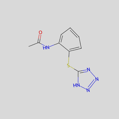 CC(=O)Nc1ccccc1Sc1nnn[nH]1